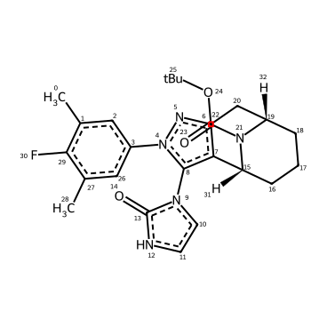 Cc1cc(-n2nc3c(c2-n2cc[nH]c2=O)[C@H]2CCC[C@@H](C3)N2C(=O)OC(C)(C)C)cc(C)c1F